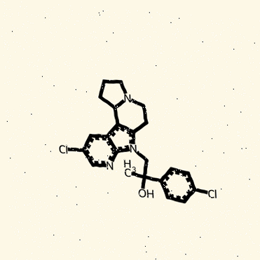 CC(O)(Cn1c2c(c3cc(Cl)cnc31)C1CCCN1CC2)c1ccc(Cl)cc1